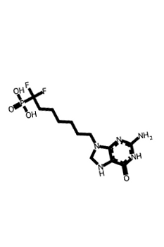 Nc1nc2c(c(=O)[nH]1)NCN2CCCCCCC(F)(F)P(=O)(O)O